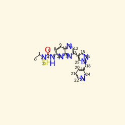 CCN(S)C(=O)Nc1ccc2ncc(-c3cnn(Cc4cccnc4)c3)nc2n1